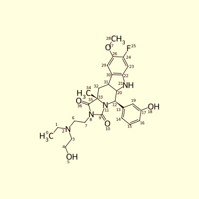 CCN(CCO)CCN1C(=O)N2[C@H](c3cccc(O)c3)C3Nc4cc(F)c(OC)cc4C3C[C@@]2(C)C1=O